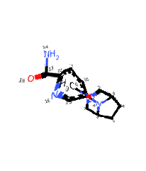 CN1CC2CCC(C1)N2c1ccc(C(N)=O)nc1